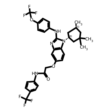 C[C@@H]1C[C@@H](n2c(Nc3ccc(OC(F)(F)F)cc3)nc3cc(OCC(=O)Nc4ccc(C(F)(F)F)cc4)ccc32)CC(C)(C)C1